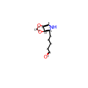 O=CCCCCc1[nH]cc2c1OCO2